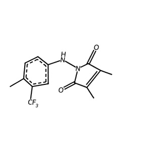 CC1=C(C)C(=O)N(Nc2ccc(C)c(C(F)(F)F)c2)C1=O